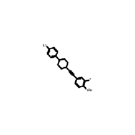 CCCCc1ccc(C#CC2CCC(c3ccc(CC)cc3)CC2)cc1F